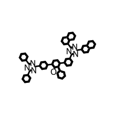 c1ccc(-c2nc(-c3ccccc3)nc(-c3ccc(-c4ccc(-c5cccc(-c6nc(-c7ccc8ccccc8c7)nc(-c7cccc8ccccc78)n6)c5)c5c4oc4ccccc45)cc3)n2)cc1